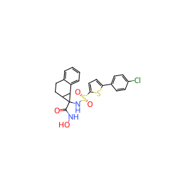 O=C(NO)C1(NS(=O)(=O)c2ccc(-c3ccc(Cl)cc3)s2)C2CCc3ccccc3C21